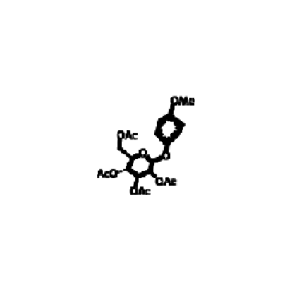 COc1ccc(OC2O[C@H](COC(C)=O)[C@@H](OC(C)=O)[C@H](OC(C)=O)[C@@H]2OC(C)=O)cc1